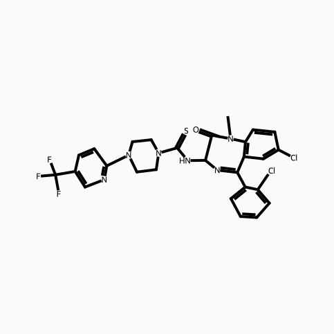 CN1C(=O)C(NC(=S)N2CCN(c3ccc(C(F)(F)F)cn3)CC2)N=C(c2ccccc2Cl)c2cc(Cl)ccc21